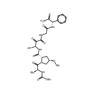 CCCC(NC(=O)[C@@H]1C[C@@H](OC(C)(C)C)CN1C(=O)[C@@H](NC(=O)OCC(C)C)C(C)(C)C)C(=O)C(=O)NCC(=O)N[C@H](C(N)=O)c1ccccc1